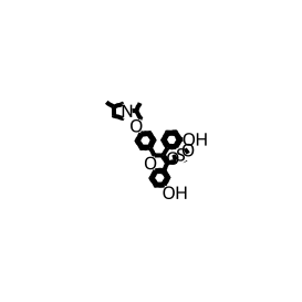 CC1=C(c2cccc(O)c2S(C)(=O)=O)C(c2ccc(OCC(C)N3CCC(C)C3)cc2)Oc2ccc(O)cc21